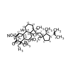 C=C(C)[C@@H]1CC[C@@](CC[C@]2(C)CCC[C@@H]3[C@@]4(C)C=C(C#N)C(=O)C(C)(C)[C@@H]4CC[C@]32C)(C(=O)O)[C@H]1C